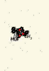 Cc1ccc(C2=Cc3ccccc3[CH]2[Zr]([CH]2C(c3ccco3)=Cc3c(-c4cccc5ccccc45)cccc32)=[Si](C)C)c2ccccc12.Cl.Cl